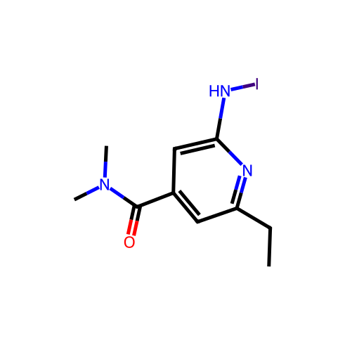 CCc1cc(C(=O)N(C)C)cc(NI)n1